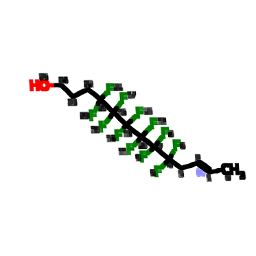 C/C=C/CC(F)(F)C(F)(F)C(F)(F)C(F)(F)C(F)(F)C(F)(F)CCCO